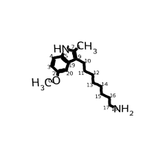 COc1ccc2[nH]c(C)c(CCCCCCCCN)c2c1